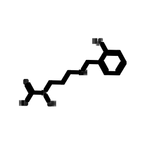 Cc1ccccc1CNCCCN(O)C(=O)O